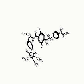 Cc1c(C)n(C)c(=O)n(-c2ccc(C[C@H](NC(=O)c3cc(F)c(NS(=O)(=O)c4ccc(NC(=O)C(C)(C)C)cc4)cc3F)C(=O)O)cc2)c1=O